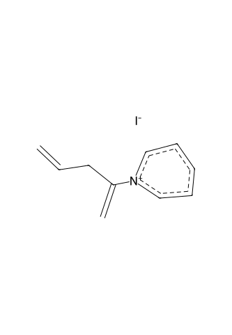 C=CCC(=C)[n+]1ccccc1.[I-]